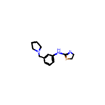 c1cc(CN2CCCC2)cc(NC2=NCCS2)c1